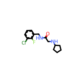 O=C(CNC1CCCC1)NCc1cccc(Cl)c1F